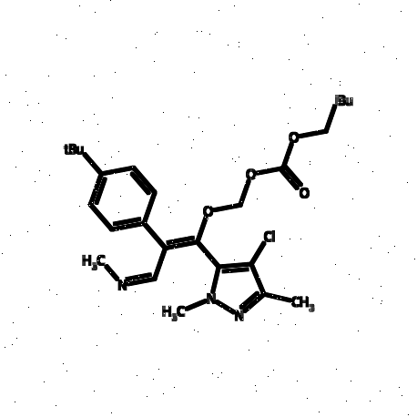 CCC(C)COC(=O)OCO/C(=C(/C=N\C)c1ccc(C(C)(C)C)cc1)c1c(Cl)c(C)nn1C